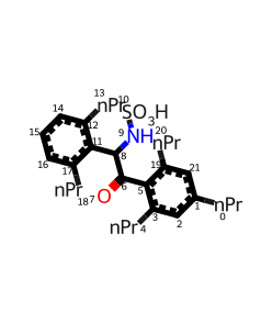 CCCc1cc(CCC)c(C(=O)C(NS(=O)(=O)O)c2c(CCC)cccc2CCC)c(CCC)c1